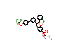 COC(=O)c1ccc(CC(C(=O)c2ccccc2F)c2cccc(-c3ccc(OC(F)(F)F)cc3)c2)cc1